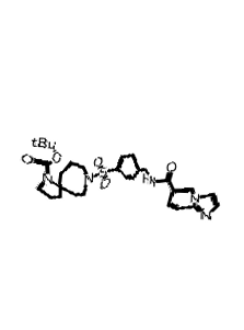 CC(C)(C)OC(=O)N1CCCC12CCCN(S(=O)(=O)c1ccc(CNC(=O)c3ccc4nccn4c3)cc1)CC2